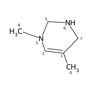 CC1=CN(C)CNC1